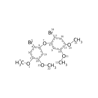 COc1cc(Br)c(Oc2cc(OC)c(OC)cc2Br)cc1OC